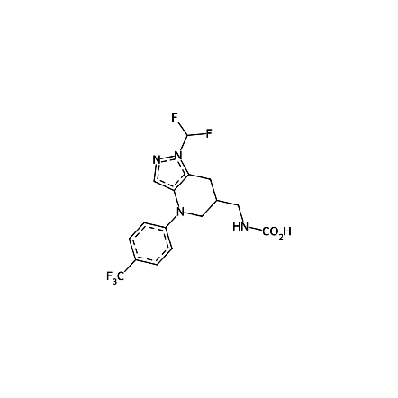 O=C(O)NCC1Cc2c(cnn2C(F)F)N(c2ccc(C(F)(F)F)cc2)C1